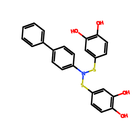 Oc1ccc(SN(Sc2ccc(O)c(O)c2)c2ccc(-c3ccccc3)cc2)cc1O